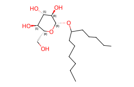 CCCCCCC(CCCCC)O[C@@H]1O[C@H](CO)[C@@H](O)[C@H](O)[C@H]1O